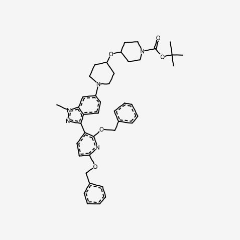 Cn1nc(-c2ccc(OCc3ccccc3)nc2OCc2ccccc2)c2ccc(N3CCC(OC4CCN(C(=O)OC(C)(C)C)CC4)CC3)cc21